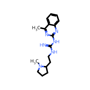 Cc1nc(NC(=N)NCCC2CCCN2C)nc2ccccc12